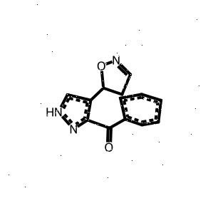 O=C(c1ccccc1)c1n[nH]cc1C1CC=NO1